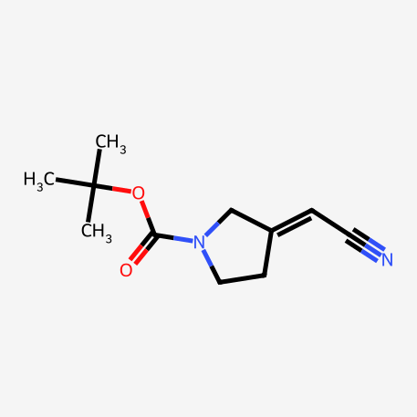 CC(C)(C)OC(=O)N1CC/C(=C\C#N)C1